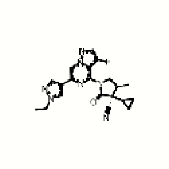 CCn1cc(-c2cn3ncc(F)c3c(N3C[C@@H](C)[C@@](C#N)(C4CC4)C3=O)n2)cn1